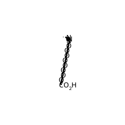 [CH2]c1cn(CCOCCOCCOCCOCCOCCOCCOCCOCCC(=O)O)nn1